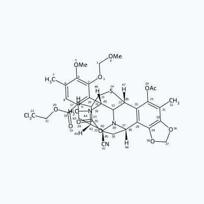 COCOc1c(OC)c(C)cc2c1[C@@H]1C3[C@@H]4SCC(NC(=O)OCC(Cl)(Cl)Cl)C(=O)OC[C@@H](c5c6c(c(C)c(OC(C)=O)c54)OCO6)N3[C@@H](C#N)[C@H](C2)N1C